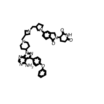 Nc1ncnc2c1c(-c1ccc(Oc3ccccc3)cc1)nn2C1CCN(CC2CN(CC3CCN(c4ccc5c(c4)CN(C4CCC(=O)NC4=O)C5=O)C3)C2)CC1